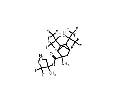 CCC(C)(OC(=O)C1(C)CC2CC1C(C(O)(C(F)(F)F)C(F)(F)F)C2C(O)(C(F)(F)F)C(F)(F)F)C(F)(F)F